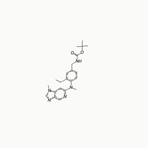 CCc1cc(CNC(=O)OC(C)(C)C)ccc1N(C)c1cc2c(cn1)ncn2C